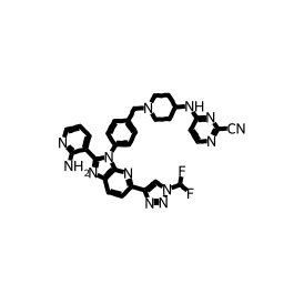 N#Cc1nccc(NC2CCN(Cc3ccc(-n4c(-c5cccnc5N)nc5ccc(-c6cn(C(F)F)nn6)nc54)cc3)CC2)n1